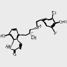 O=Cc1c(F)cc(CNC[C@H](O)c2ccc(O)c3[nH]c(=O)ccc23)cc1Cl